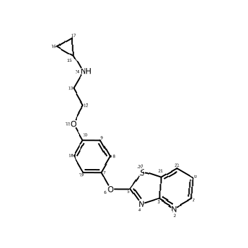 c1cnc2nc(Oc3ccc(OCCNC4CC4)cc3)sc2c1